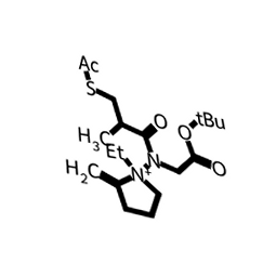 C=C1CCC[N+]1(CC)N(CC(=O)OC(C)(C)C)C(=O)C(C)CSC(C)=O